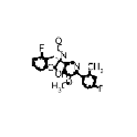 COc1cc([C@](Cc2ccccc2F)(N=C=O)C(=O)O)cnc1-c1ccc(F)cc1C